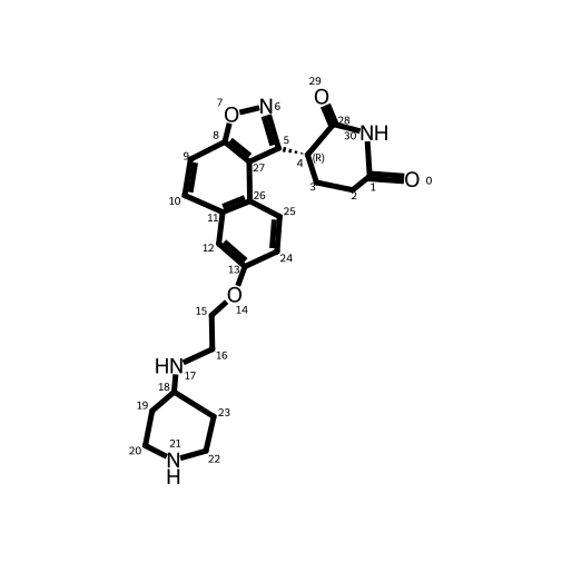 O=C1CC[C@H](c2noc3ccc4cc(OCCNC5CCNCC5)ccc4c23)C(=O)N1